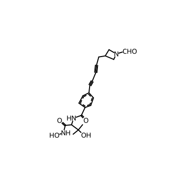 CC(C)(O)C(NC(=O)c1ccc(C#CC#CCC2CN(C=O)C2)cc1)C(=O)NO